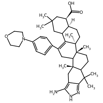 CC1(C)CC2C3=C(c4ccc(N5CCOCC5)cc4)CC4[C@@]5(C)Cc6c(n[nH]c6N)C(C)(C)C5CC[C@@]4(C)[C@]3(C)CC[C@@H]2[C@H](C(=O)O)C1